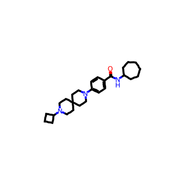 O=C(NC1CCCCCC1)c1ccc(N2CCC3(CC2)CCN(C2CCC2)CC3)cc1